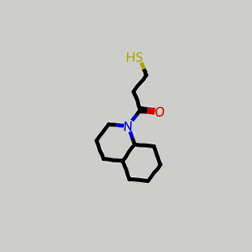 O=C(CCS)N1CCCC2CCCCC21